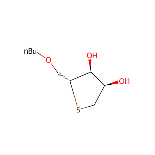 CCCCOC[C@H]1SC[C@H](O)[C@@H]1O